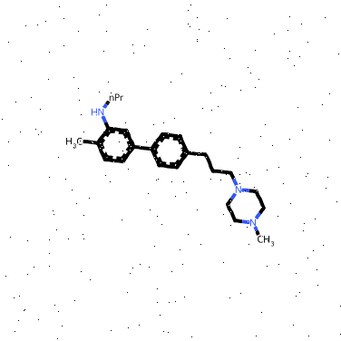 CCCNc1cc(-c2ccc(CCCN3CCN(C)CC3)cc2)ccc1C